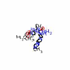 CCc1nc(C(N)=O)c(Nc2ccc(N3CCC(N4CCN(C)CC4)CC3)cc2)nc1N[C@H]1CCCN(C(=O)OC(C)(C)C)C1